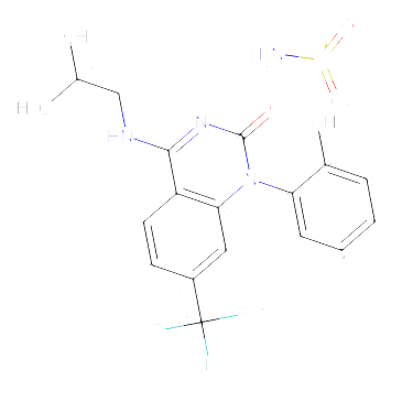 Cc1ccccc1-n1c(=O)nc(NCC(C)C)c2ccc(C(F)(F)F)cc21.N[SH](=O)=O